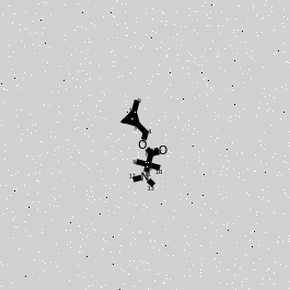 CC1CC1COC(=O)C(C)(C)N(C)C